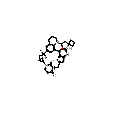 O=c1ccn(C2CC2)c(=O)n1Cc1cc2nccc(-c3cc(C(F)(F)F)cc4c3N([C@@H]3CNC5(CCC5)C3)CCC4)c2s1